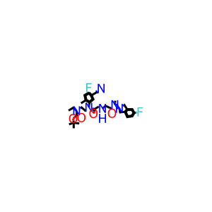 CCN(CCN(C(=O)CNCC(=O)N(C)N1Cc2ccc(F)cc2C1)c1cc(C#N)c(F)cc1C)C(=O)OC(C)(C)C